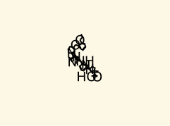 CCOc1ccccc1OC1CCCN(c2cncc(Nc3cccc(N4CCC(C)(C(=O)O)C4)n3)n2)C1